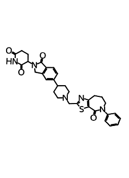 O=C1CCC(N2Cc3cc(C4CCN(Cc5nc6c(s5)C(=O)N(c5ccccc5)CCC6)CC4)ccc3C2=O)C(=O)N1